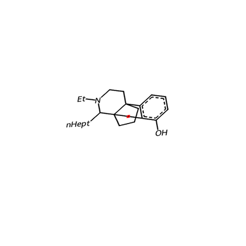 CCCCCCCC1N(CC)CCC23CCCC12CCc1c(O)cccc13